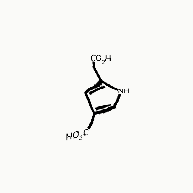 O=C(O)c1c[nH]c(C(=O)O)c1